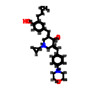 C=CCc1cc(/C=C2\CN(C3CC3)C/C(=C\c3ccc(N4CCOCC4)cc3)C2=O)ccc1O